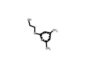 Cc1cc(C)nc(OCCO)c1